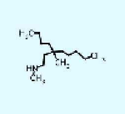 CCCCCC(C)(CCCC)CCNC